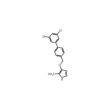 O=C(O)c1[nH]nnc1OCc1ccc(-c2cc(Cl)cc(Cl)c2)cc1